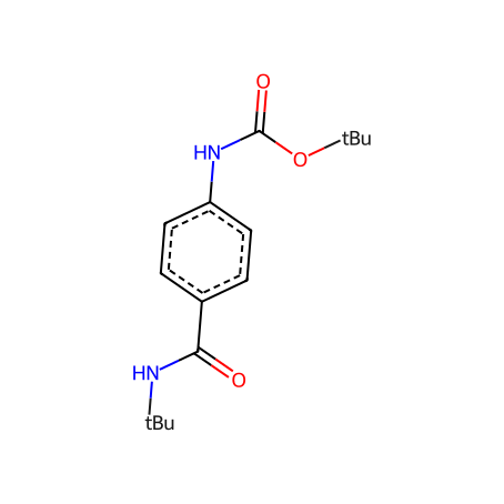 CC(C)(C)NC(=O)c1ccc(NC(=O)OC(C)(C)C)cc1